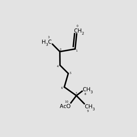 C=CC(C)CCCC(C)(C)OC(C)=O